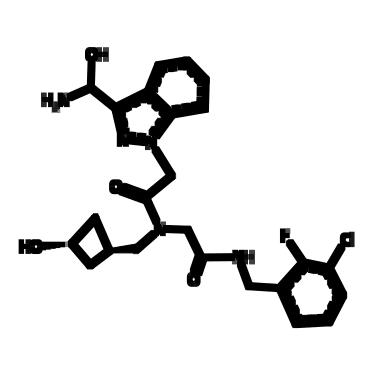 NC(O)c1nn(CC(=O)N(CC(=O)NCc2cccc(Cl)c2F)C[C@H]2C[C@H](O)C2)c2ccccc12